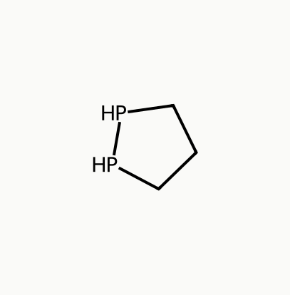 C1CPPC1